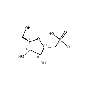 O=P(O)(O)C[C@H]1O[C@H](CO)[C@@H](O)[C@H]1O